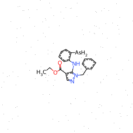 CCOC(=O)c1cnn(Cc2ccccc2)c1Nc1ccccc1[AsH2]